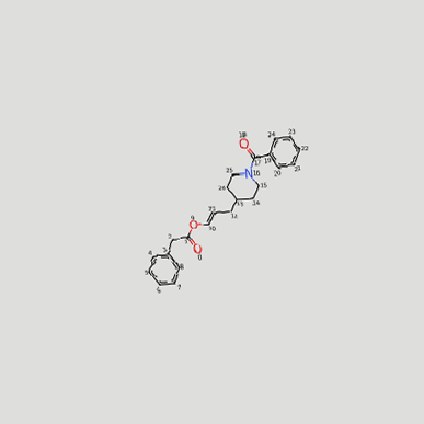 O=C(Cc1ccccc1)OC=CCC1CCN(C(=O)c2ccccc2)CC1